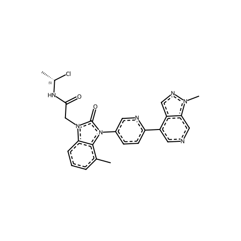 Cc1cccc2c1n(-c1ccc(-c3cncc4c3cnn4C)nc1)c(=O)n2CC(=O)N[C@H](C)Cl